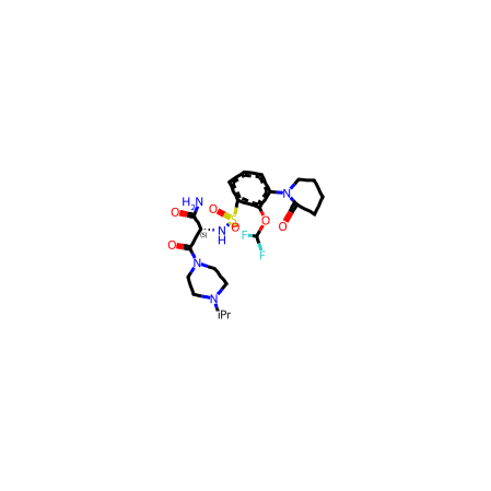 CC(C)N1CCN(C(=O)[C@@H](NS(=O)(=O)c2cccc(N3CCCCC3=O)c2OC(F)F)C(N)=O)CC1